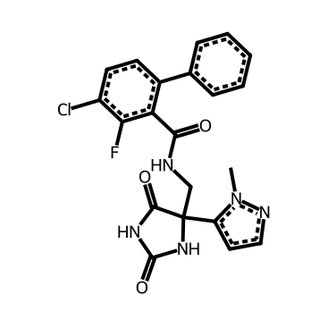 Cn1nccc1C1(CNC(=O)c2c(-c3ccccc3)ccc(Cl)c2F)NC(=O)NC1=O